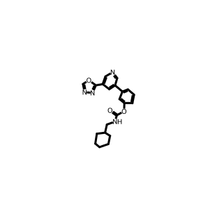 O=C(NCC1CCCCC1)Oc1cccc(-c2cncc(-c3nnco3)c2)c1